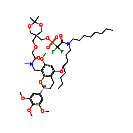 CCCCCCCCN(CCCCCCCC)C(=O)C(F)(F)S(=O)(=O)OCC1(COCC(=O)N(C)Cc2c(OC)cc(OC)c3c2O[C@@H](c2cc(OC)c(OC)c(OC)c2)CC3)COC(C)(C)OC1